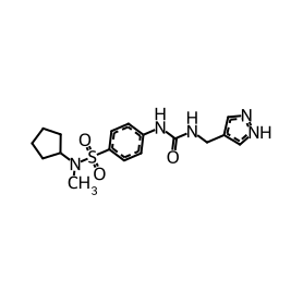 CN(C1CCCC1)S(=O)(=O)c1ccc(NC(=O)NCc2cn[nH]c2)cc1